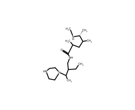 CCC(CNC(=O)C(C)CC(C)[C@@H](C)NC)C(C)N1CCNCC1